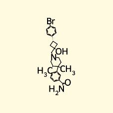 CC1CN(C[C@]2(O)C[C@H](c3ccc(Br)cc3)C2)CCC1(C)c1cccc(C(N)=O)c1